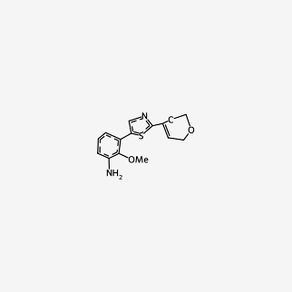 COc1c(N)cccc1-c1cnc(C2=CCOCC2)s1